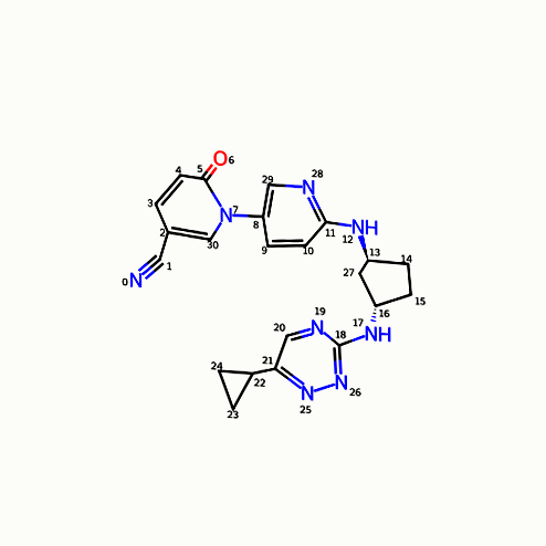 N#Cc1ccc(=O)n(-c2ccc(N[C@H]3CC[C@H](Nc4ncc(C5CC5)nn4)C3)nc2)c1